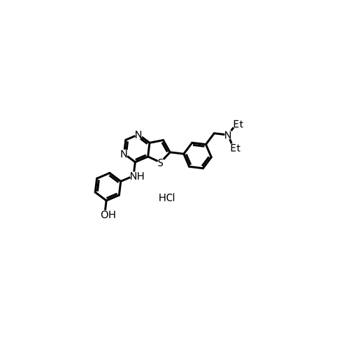 CCN(CC)Cc1cccc(-c2cc3ncnc(Nc4cccc(O)c4)c3s2)c1.Cl